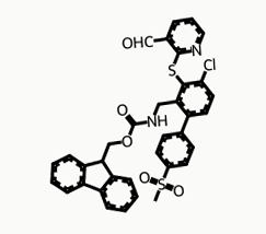 CS(=O)(=O)c1ccc(-c2ccc(Cl)c(Sc3ncccc3C=O)c2CNC(=O)OCC2c3ccccc3-c3ccccc32)cc1